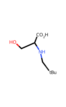 CC(C)(C)CNC(CO)C(=O)O